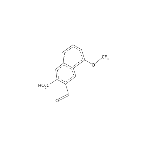 O=Ic1cc2c(OC(F)(F)F)cccc2cc1C(=O)O